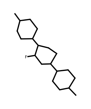 CC1CCC(C2CCC(C3CCC(C)CC3)C(F)C2)CC1